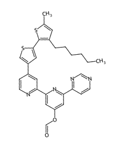 CCCCCCc1cc(C)sc1-c1cc(-c2ccnc(-c3cc(OC=O)cc(-c4ccncn4)n3)c2)cs1